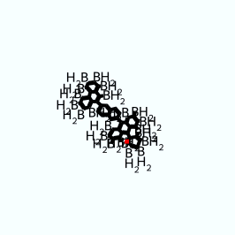 Bc1c(B)c(B)c(-c2c3c(B)c(B)c(B)c(B)c3c(-c3ccc4cc(-c5c(B)c6c(B)c(B)c(B)c(B)c6c6c(B)c(B)c(B)c(B)c56)ccc4c3)c3c(B)c(B)c(B)c(B)c23)c(B)c1B